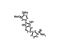 COc1ccc(-c2[nH]c3ccc(-c4cccc(C(N)=O)c4)cc3c2C(C)C)cc1OC